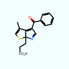 CC1=CSC2(CCC(=O)O)N=CC(C(=O)c3ccccc3)=C12